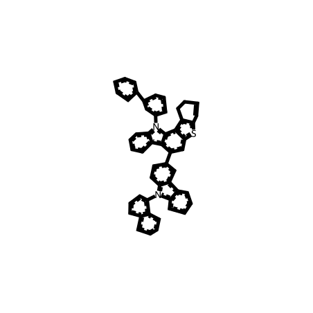 C1=Cc2sc3cc(-c4ccc5c(c4)c4ccccc4n5-c4cccc5ccccc45)c4c5ccccc5n(-c5cccc(-c6ccccc6)c5)c4c3c2CC1